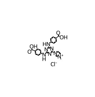 C[n+]1ccn(-c2nc(Nc3ccc(C(=O)O)cc3)nc(Nc3ccc(C(=O)O)cc3)n2)c1.[Cl-]